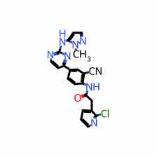 Cn1nccc1Nc1nccc(-c2ccc(NC(=O)Cc3cccnc3Cl)c(C#N)c2)n1